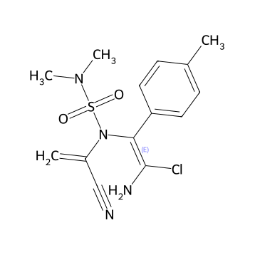 C=C(C#N)N(/C(=C(\N)Cl)c1ccc(C)cc1)S(=O)(=O)N(C)C